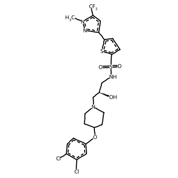 Cn1nc(-c2ccc(S(=O)(=O)NC[C@@H](O)CN3CCC(Oc4ccc(Cl)c(Cl)c4)CC3)s2)cc1C(F)(F)F